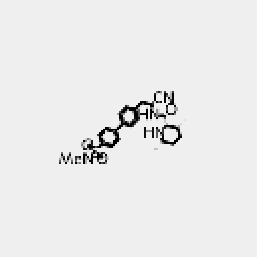 CNS(=O)(=O)c1ccc(-c2ccc(C[C@@H](C#N)NC(=O)[C@H]3N[C@@H](C)CC[C@H]3C)cc2)cc1